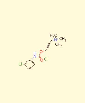 C[N+](C)(C)CC#CCOC(=O)Nc1cccc(Cl)c1.[Cl-]